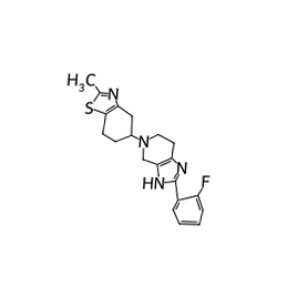 Cc1nc2c(s1)CCC(N1CCc3nc(-c4ccccc4F)[nH]c3C1)C2